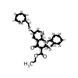 CCOC(=O)c1c(=O)c2cc(SCc3ccccn3)cnc2n2c1sc1ccccc12